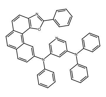 c1ccc(-c2nc3ccc4ccc5ccc(N(c6ccccc6)c6cncc(N(c7ccccc7)c7ccccc7)c6)cc5c4c3o2)cc1